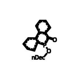 CCCCCCCCCCOp1c(=O)c2ccccc2c2ccccc21